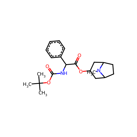 CN1C2CCC1CC(OC(=O)C(NC(=O)OC(C)(C)C)c1ccccc1)C2